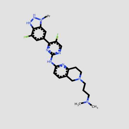 CC(C)N1NNc2c(F)cc(-c3nc(Nc4ccc5c(n4)CCN(CCCN(C)C)C5)ncc3F)cc21